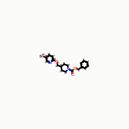 O=C(OCc1ccccc1)N1CCC(COc2ccc(Br)cn2)CC1